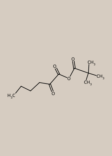 CCCCC(=O)C(=O)OC(=O)C(C)(C)C